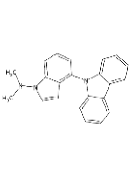 CN(C)n1ccc2c(-n3c4ccccc4c4ccccc43)cccc21